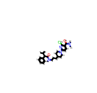 CC(C)C(C(=O)N(C)CCCC1CCN(c2ccc(C(=O)N(C)C)c(Cl)n2)CC1)c1ccccc1